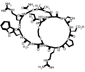 C[C@@H]1NC(=O)[C@@H]2CCCC[C@H](NC(=O)CN)C(=O)N[C@@H](CSC(C)(C)SC[C@@H](C(N)=O)NC(=O)[C@H](CCCNC(=N)N)NC(=O)[C@H](Cc3cc4ccccc4[nH]3)NC1=O)C(=O)N[C@@H](CO)C(=O)N[C@@H](CC(=O)O)C(=O)N1CCCC1C(=O)N[C@@H](CCCNC(=N)N)C(=O)N2